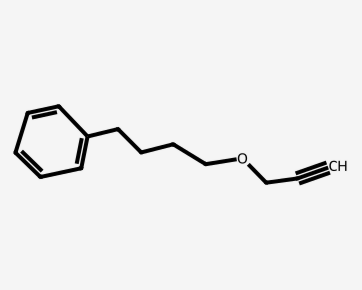 C#CCOCCCCc1ccccc1